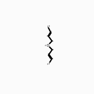 IC=CCOCC=CI